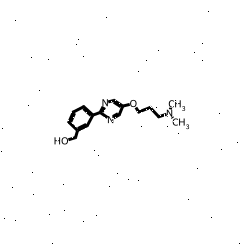 CN(C)CCCOc1cnc(-c2cccc(CO)c2)nc1